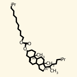 CC(C)CCCCCCCCCCOC(=O)OC1CC[C@@]2(C)C(=CCC3C2CC[C@@]2(C)C3CC[C@@H]2[C@H](C)CCCC(C)C)C1